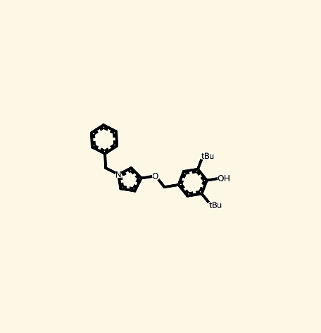 CC(C)(C)c1cc(COc2ccn(Cc3ccccc3)c2)cc(C(C)(C)C)c1O